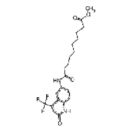 COC(=O)CCCCCCCCC(=O)Nc1ccc2[nH]c(=O)cc(C(F)(F)F)c2c1